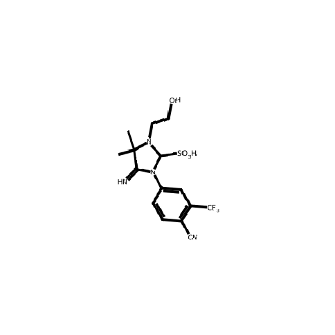 CC1(C)C(=N)N(c2ccc(C#N)c(C(F)(F)F)c2)C(S(=O)(=O)O)N1CCO